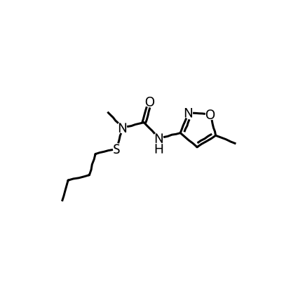 CCCCSN(C)C(=O)Nc1cc(C)on1